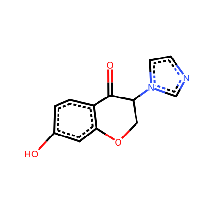 O=C1c2ccc(O)cc2OCC1n1ccnc1